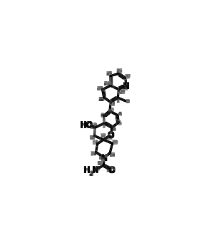 Cc1c(-c2ccc3c(c2)C(O)CC2(CCN(C(N)=O)CC2)O3)ccc2cccnc12